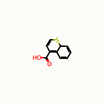 O=C(O)C1=C2C=CC=CC2SC=C1